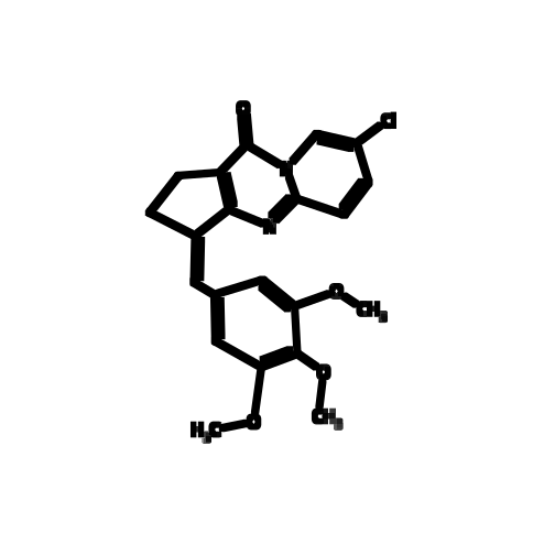 COc1cc(/C=C2/CCc3c2nc2ccc(Cl)cn2c3=O)cc(OC)c1OC